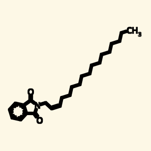 CCCCCCCCCCCCCC/C=C\CN1C(=O)c2ccccc2C1=O